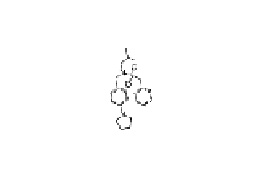 CC(C)CN(Cc1ccc(N2CCCC2)cc1)S(=O)(=O)Cc1ccccc1